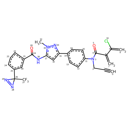 C#CCN(C(=O)C(=C)C(=C)Cl)c1ccc(-c2cc(NC(=O)c3cccc(C4(C(F)(F)F)N=N4)c3)n(C)n2)cc1